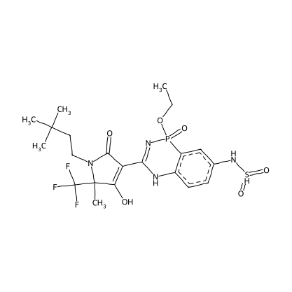 CCOP1(=O)N=C(C2=C(O)C(C)(C(F)(F)F)N(CCC(C)(C)C)C2=O)Nc2ccc(N[SH](=O)=O)cc21